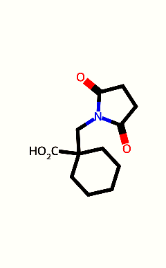 O=C1CCC(=O)N1CC1(C(=O)O)CCCCC1